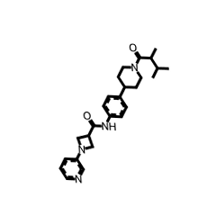 CC(C)C(C)C(=O)N1CCC(c2ccc(NC(=O)C3CN(c4cccnc4)C3)cc2)CC1